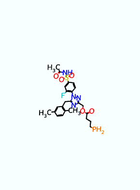 CC(=O)NS(=O)(=O)c1ccc(-n2nc(COC(=O)CCCP)nc2Cc2cc(C)ccc2C)c(F)c1